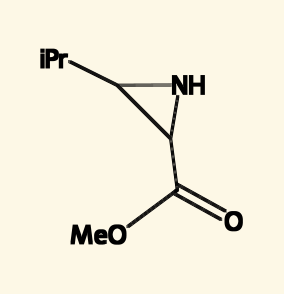 COC(=O)C1NC1C(C)C